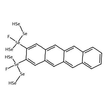 F[Se]([SeH])([Se][SeH])c1cc2cc3cc4ccccc4cc3cc2cc1[Se](F)([SeH])[Se][SeH]